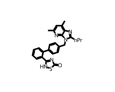 CCCc1nc2c(C)cc(C)nc2n1Cc1ccc(-c2ccccc2-c2nc(=O)s[nH]2)cc1